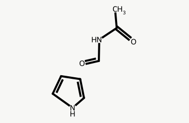 CC(=O)NC=O.c1cc[nH]c1